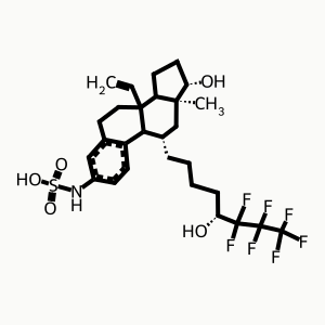 C=CC12CCc3cc(NS(=O)(=O)O)ccc3C1[C@@H](CCCC[C@@H](O)C(F)(F)C(F)(F)C(F)(F)F)C[C@@]1(C)C2CC[C@@H]1O